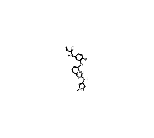 C=CC(=O)Nc1ccc(F)c(Oc2cccc3nc(Nc4cnn(C)c4)nn23)c1